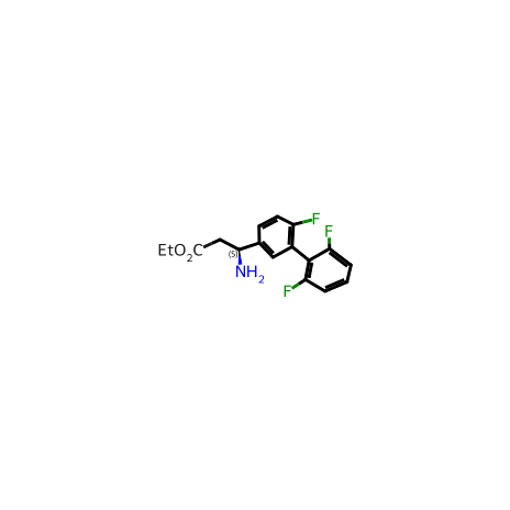 CCOC(=O)C[C@H](N)c1ccc(F)c(-c2c(F)cccc2F)c1